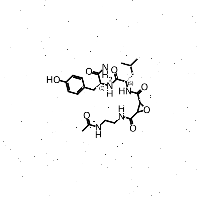 CC(=O)NCCNC(=O)C1OC1C(=O)N[C@@H](CC(C)C)C(=O)N[C@@H](Cc1ccc(O)cc1)C(N)=O